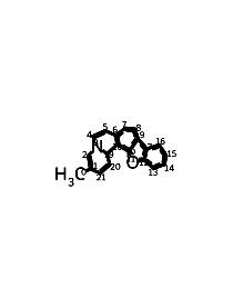 CC1=CN2C=Cc3ccc4c(oc5ccccc54)c3C2C=C1